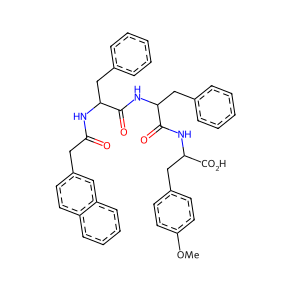 COc1ccc(CC(NC(=O)C(Cc2ccccc2)NC(=O)C(Cc2ccccc2)NC(=O)Cc2ccc3ccccc3c2)C(=O)O)cc1